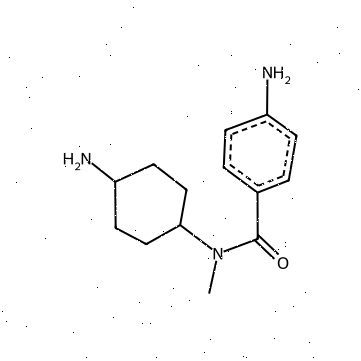 CN(C(=O)c1ccc(N)cc1)C1CCC(N)CC1